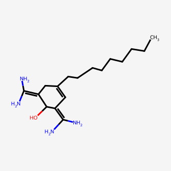 CCCCCCCCCC1=CC(=C(N)N)C(O)C(=C(N)N)C1